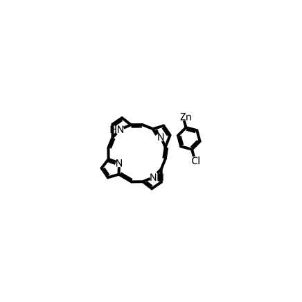 C1=Cc2cc3ccc(cc4nc(cc5ccc(cc1n2)[nH]5)C=C4)[nH]3.Clc1cc[c]([Zn])cc1